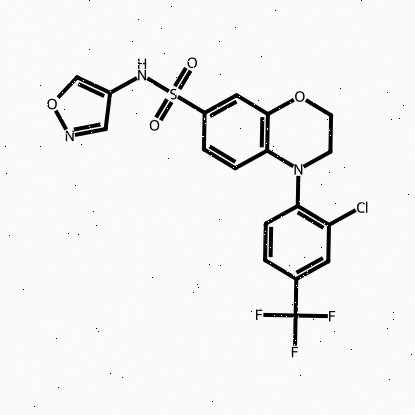 O=S(=O)(Nc1cnoc1)c1ccc2c(c1)OCCN2c1ccc(C(F)(F)F)cc1Cl